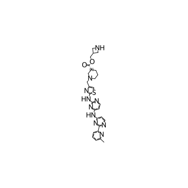 Cc1cccc(-c2nccc(Nc3ccnc(Nc4nc(CN5CCC[C@@H](C(=O)OCC6CNC6)C5)cs4)n3)n2)n1